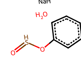 O.O=[SH]Oc1ccccc1.[NaH]